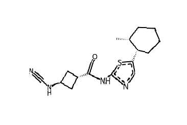 C[C@@H]1CCCC[C@@H]1c1cnc(NC(=O)[C@H]2C[C@H](NC#N)C2)s1